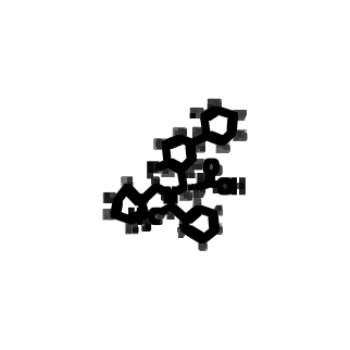 C[C@H](c1ccccc1)N(Cc1ccccc1)[C@@H](CC(=O)O)c1cc(-c2ccccc2)ccc1F